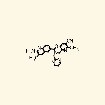 Cc1cc2cc(C(=O)N(Cc3ccc(C#N)c(C)n3)Cc3ncccn3)ccc2nc1N